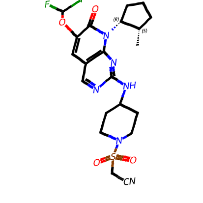 C[C@H]1CCC[C@H]1n1c(=O)c(OC(F)F)cc2cnc(NC3CCN(S(=O)(=O)CC#N)CC3)nc21